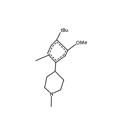 COc1cc(C2CCN(C)CC2)c(C)cc1C(C)(C)C